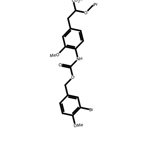 COc1ccc(COC(=O)Nc2ccc(CC(OC(C)C)C(=O)O)cc2OC)cc1Br